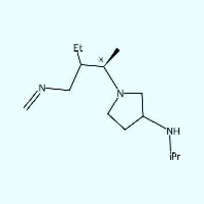 C=NCC(CC)[C@@H](C)N1CCC(NC(C)C)C1